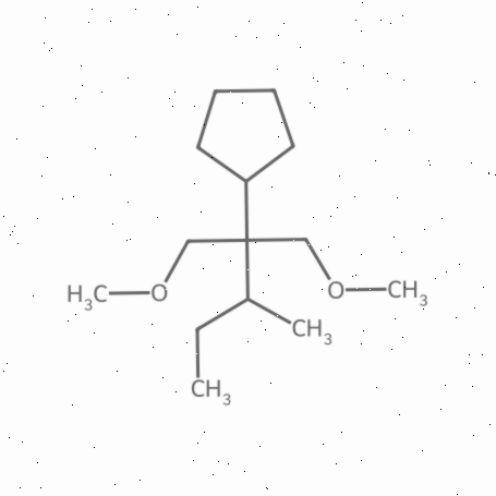 CCC(C)C(COC)(COC)C1CCCC1